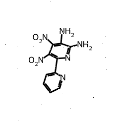 Nc1nc(-c2ccccn2)c([N+](=O)[O-])c([N+](=O)[O-])c1N